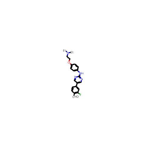 CCN(CC)CCOc1ccc(Nc2ncc(-c3ccc(C=O)c(F)c3)cn2)cc1